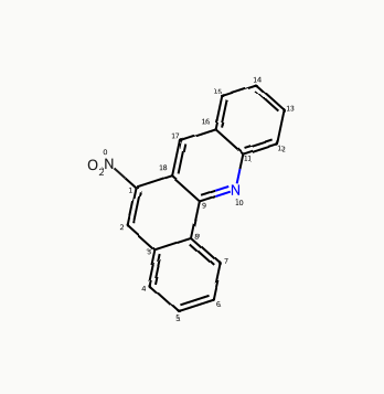 O=[N+]([O-])c1cc2ccccc2c2nc3ccccc3cc12